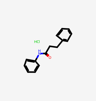 Cl.O=C(CCc1ccccc1)Nc1ccccc1